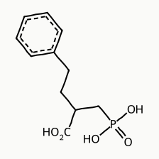 O=C(O)C(CCc1ccccc1)CP(=O)(O)O